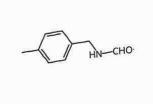 Cc1ccc(CN[C]=O)cc1